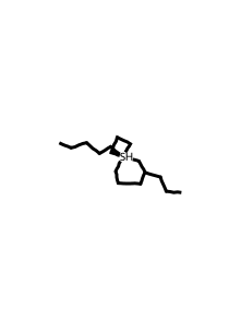 CCCCC[SH]12(CCCC(CCC)C1)CCC2